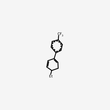 CCC1C=CC(c2ccc(C(F)(F)F)cc2)=CC1